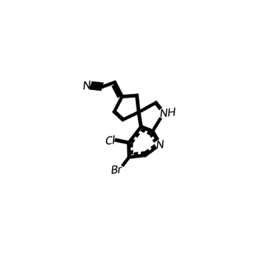 N#C/C=C1\CCC2(CNc3ncc(Br)c(Cl)c32)C1